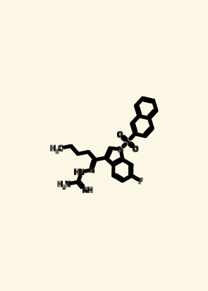 CCCCC(=NNC(=N)N)c1cn(S(=O)(=O)c2ccc3ccccc3c2)c2cc(F)ccc12